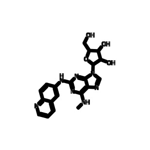 CNc1nc(Nc2ccc3ncccc3c2)nc2c1ncn2C1OC(CO)C(O)C1O